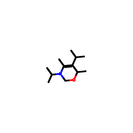 CC1=C(C(C)C)C(C)OCN1C(C)C